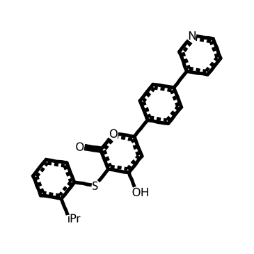 CC(C)c1ccccc1Sc1c(O)cc(-c2ccc(-c3cccnc3)cc2)oc1=O